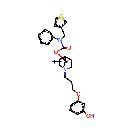 O=C(O[C@H]1C[N+]2(CCCOc3cccc(O)c3)CCC1CC2)N(Cc1ccsc1)c1ccccc1